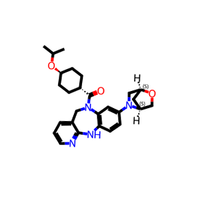 CC(C)O[C@H]1CC[C@H](C(=O)N2Cc3cccnc3Nc3ccc(N4C[C@@H]5C[C@H]4CO5)cc32)CC1